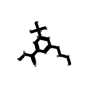 CCOCc1cc(C(=O)OC)cc(C(C)(C)C)c1